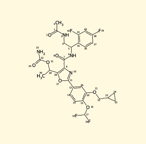 CC(=O)NCC(NC(=O)c1nc(-c2ccc(OC(F)F)c(OCC3CC3)c2)oc1C(C)OC(N)=O)c1ccc(F)cc1F